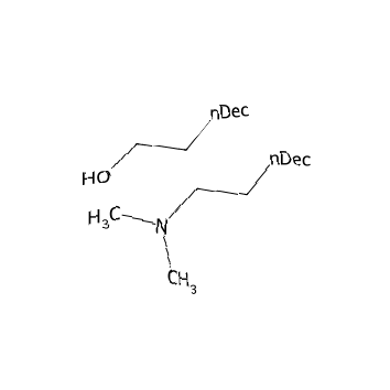 CCCCCCCCCCCCN(C)C.CCCCCCCCCCCCO